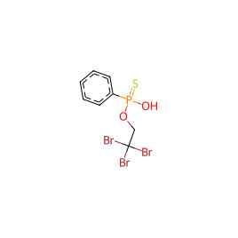 OP(=S)(OCC(Br)(Br)Br)c1ccccc1